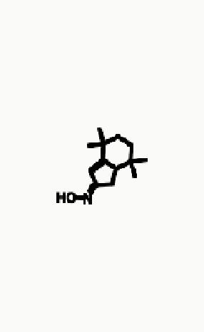 CC1(C)CCC(C)(C)C2CC(=NO)C=C21